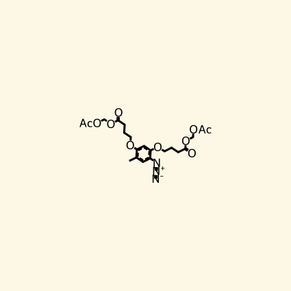 CC(=O)OCOC(=O)CCCOc1cc(OCCCC(=O)OCOC(C)=O)c(N=[N+]=[N-])cc1C